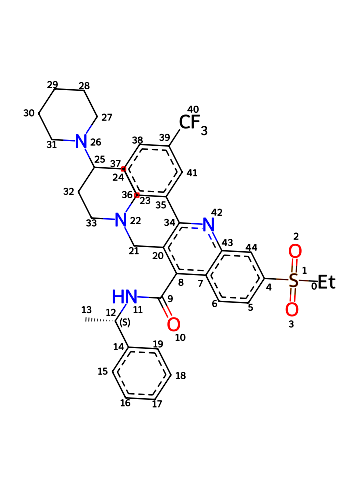 CCS(=O)(=O)c1ccc2c(C(=O)N[C@@H](C)c3ccccc3)c(CN3CCC(N4CCCCC4)CC3)c(-c3cccc(C(F)(F)F)c3)nc2c1